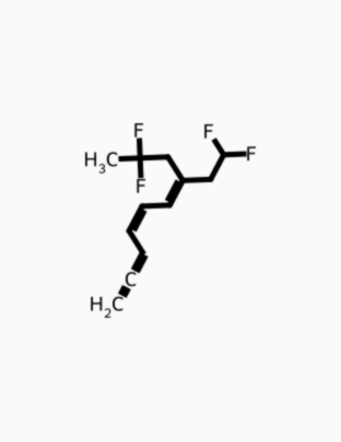 C=C=C/C=C\C=C(\CC(F)F)CC(C)(F)F